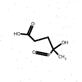 CC(O)(CCC(=O)O)P=O